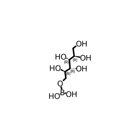 OC[C@@H](O)[C@@H](O)[C@H](O)[C@H](O)COB(O)O